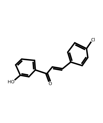 O=C(/C=C/c1ccc(Cl)cc1)c1cccc(O)c1